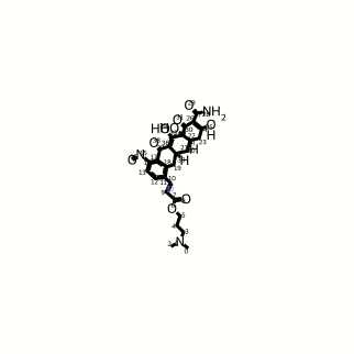 CN(C)CCCOC(=O)/C=C/c1ccc(N=O)c2c1C[C@H]1C[C@H]3CC(O)=C(C(N)=O)C(=O)[C@@]3(O)C(O)=C1C2=O